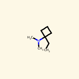 CCC1(N(C)C)CCC1